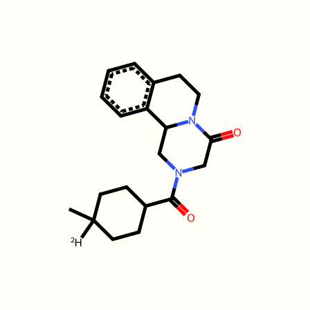 [2H]C1(C)CCC(C(=O)N2CC(=O)N3CCc4ccccc4C3C2)CC1